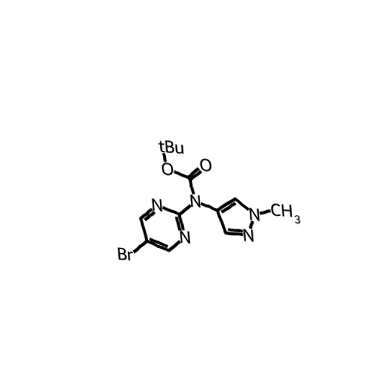 Cn1cc(N(C(=O)OC(C)(C)C)c2ncc(Br)cn2)cn1